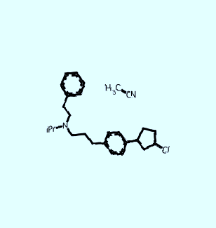 CC#N.CC(C)N(CCCc1ccc(C2CCC(Cl)C2)cc1)CCc1ccccc1